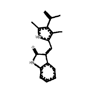 C=C(C)c1c(C)[nH]c(C=C2C(=O)Nc3ccccc32)c1C